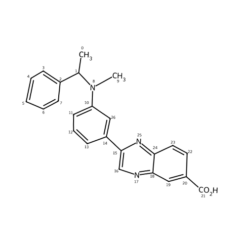 CC(c1ccccc1)N(C)c1cccc(-c2cnc3cc(C(=O)O)ccc3n2)c1